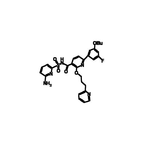 CC(C)COc1cc(F)cc(-c2ccc(C(=O)NS(=O)(=O)c3cccc(N)n3)c(OCCCc3ccccn3)n2)c1